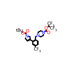 CC(C)(C)OC(=O)N1CC=C(c2cc(C(F)(F)F)ccc2CN2CCN(C(=O)OC(C(F)(F)F)C(F)(F)F)CC2)C1